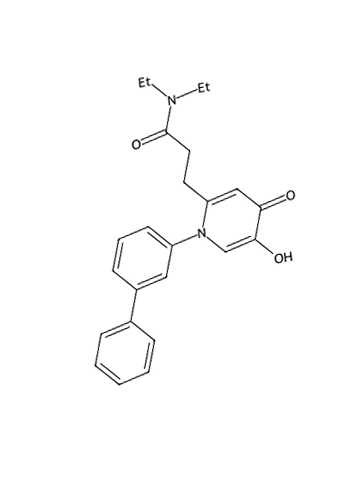 CCN(CC)C(=O)CCc1cc(=O)c(O)cn1-c1cccc(-c2ccccc2)c1